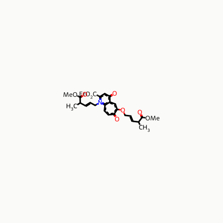 CCOC(=O)c1cc(=O)c2cc(OC/C=C/C(C)C(=O)OC)c(=O)ccc2n1C/C=C/C(C)C(=O)OC